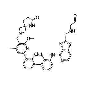 COc1nc(-c2cccc(-c3cccc(Nc4nccc5sc(CNCC=O)nc45)c3Cl)c2Cl)cc(C)c1CN1CC2(CCC(=O)N2)C1